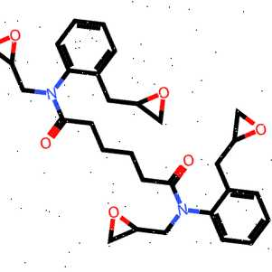 O=C(CCCCC(=O)N(CC1CO1)c1ccccc1CC1CO1)N(CC1CO1)c1ccccc1CC1CO1